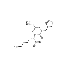 [Cu+2].[NH-]CC(=O)[N-][C@@H](Cc1c[nH]cn1)C(=O)N[C@@H](CCCCN)C(=O)[O-]